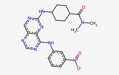 CN(C)C(=O)C1CCC(Nc2ncc3ncnc(Nc4cccc([N+](=O)[O-])c4)c3n2)CC1